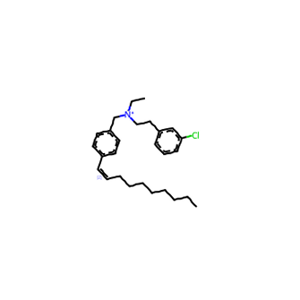 CCCCCCCC/C=C\c1ccc(C[N+](CC)CCc2cccc(Cl)c2)cc1